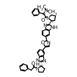 CN(C)[C@@H](C(=O)N1CCC[C@H]1c1nc2ccc(-c3ncc(-c4ccc5[nH]c([C@@H]6CCCN6C(=O)Cc6ccccc6)nc5c4)o3)cc2[nH]1)c1ccccc1